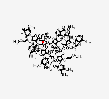 COCCOC1[C@@H](OP(=O)(S)OC[C@H]2O[C@@H](n3cnc4c(=O)[nH]c(N)nc43)C(OCCOC)[C@H]2OP(=O)(S)OC[C@H]2O[C@@H](n3cc(C)c(N)nc3=O)C(OCCOC)[C@H]2OP(=O)(S)OC[C@H]2O[C@@H](n3cnc4c(N)ncnc43)C(OCCOC)[C@H]2O)[C@@H](COP(=O)(S)O[C@@H]2C(OCCOC)[C@H](n3cc(C)c(=O)[nH]c3=O)O[C@@H]2COP(=O)(S)O[C@@H]2C[C@H](n3cnc4c(N)ncnc43)O[C@@H]2C)O[C@H]1n1cc(C)c(N)nc1=O